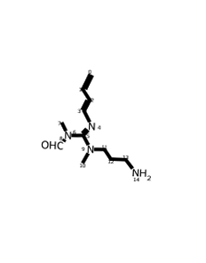 C=C/C=C/N=C(\N(C)C=O)N(C)CCCN